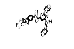 O=C(Nc1ccc2[nH]c(C(F)(F)F)nc2c1)c1cc(NCCN2CCOCC2)nc(N2CCOCC2)n1